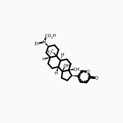 CCN(C(=O)O)[C@H]1CC[C@@]2(C)[C@H](CC[C@@H]3[C@@H]2CC[C@]2(C)[C@@H](c4ccc(=O)oc4)CC[C@]32O)C1